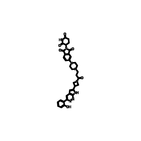 O=C1CCC(N2C(=O)c3ccc(N4CCN(CCC(=O)N5CC(c6cc7cc(-c8ccccc8O)nnc7[nH]6)C5)CC4)cc3C2=O)C(=O)N1